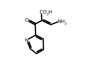 NC=C(C(=O)O)C(=O)c1ccccn1